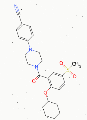 CS(=O)(=O)c1ccc(OC2CCCCC2)c(C(=O)N2CCN(c3ccc(C#N)cc3)CC2)c1